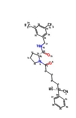 CC(C)[C@@](C#N)(CCCCC(=O)N1CCC[C@@H]1C(=O)NCc1cc(C(F)(F)F)cc(C(F)(F)F)c1)c1ccccc1